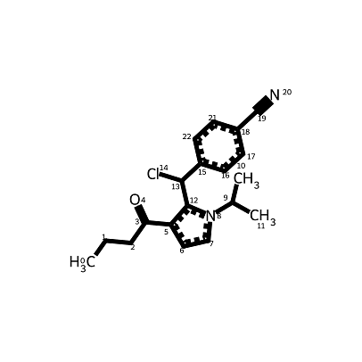 CCCC(=O)c1ccn(C(C)C)c1C(Cl)c1ccc(C#N)cc1